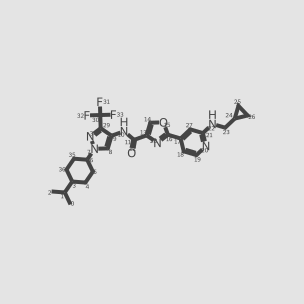 CC(C)C1CCC(n2cc(NC(=O)c3coc(-c4ccnc(NCC5CC5)c4)n3)c(C(F)(F)F)n2)CC1